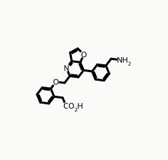 NCc1cccc(-c2cc(COc3ccccc3CC(=O)O)nc3ccoc23)c1